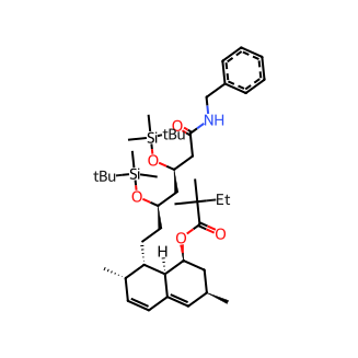 CCC(C)(C)C(=O)O[C@H]1C[C@@H](C)C=C2C=C[C@H](C)[C@H](CC[C@H](C[C@H](CC(=O)NCc3ccccc3)O[Si](C)(C)C(C)(C)C)O[Si](C)(C)C(C)(C)C)[C@H]21